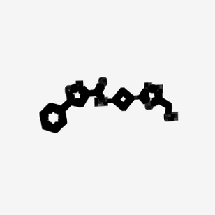 O=C(N[C@H]1C[C@@H](c2nnc(CO)o2)C1)c1cc(-c2ccccc2)on1